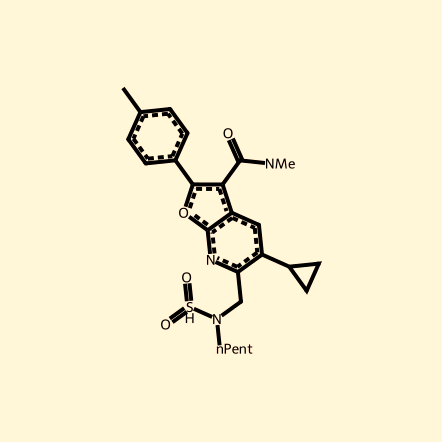 [CH2]CCCCN(Cc1nc2oc(-c3ccc(C)cc3)c(C(=O)NC)c2cc1C1CC1)[SH](=O)=O